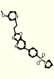 COc1ccnc(CCc2nc3ncc(-c4ccc(S(=O)(=O)n5cccc5)cc4)cc3o2)c1